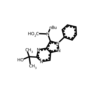 CCCCN(C(=O)O)c1c2nc(C(C)(C)O)ncc2nn1-c1ccccc1